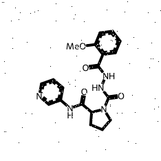 COc1ccccc1C(=O)NNC(=O)N1CCCC1C(=O)Nc1cccnc1